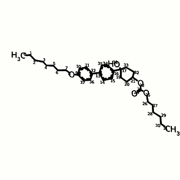 CCCCCCCCOc1ccc(-c2ccc(C3(O)CCC(OC(=O)OCCCCCC)CC3)cc2)cc1